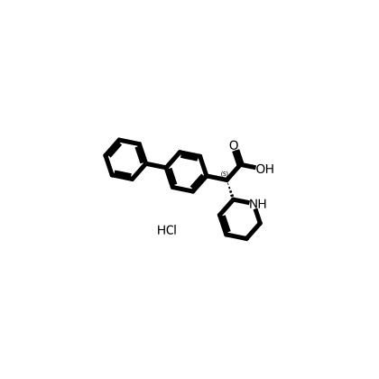 Cl.O=C(O)[C@@H](c1ccc(-c2ccccc2)cc1)C1C=CCCN1